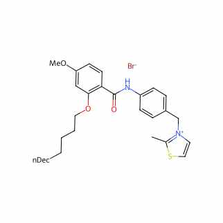 CCCCCCCCCCCCCCOc1cc(OC)ccc1C(=O)Nc1ccc(C[n+]2ccsc2C)cc1.[Br-]